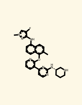 Cc1ccc2c(Nc3nn(C)cc3F)cccc2c1Oc1ncccc1-c1ccnc(N[C@H]2CCCNC2)n1